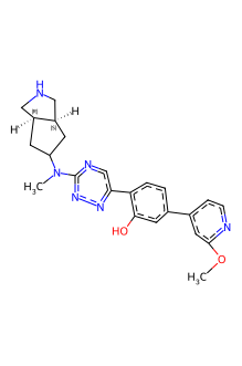 COc1cc(-c2ccc(-c3cnc(N(C)C4C[C@H]5CNC[C@H]5C4)nn3)c(O)c2)ccn1